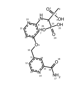 CP(=O)(O)C(Nc1cc(OCc2ccnc(C(N)=O)c2)ccn1)P(=O)(O)O